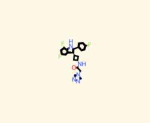 O=C(Cn1cnnc1)N[C@H]1C[C@H](c2c(-c3ccc(F)cc3)[nH]c3c(F)cc(F)cc32)C1